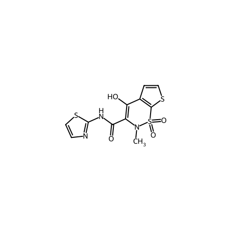 CN1C(C(=O)Nc2nccs2)=C(O)c2ccsc2S1(=O)=O